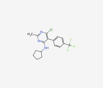 Cc1nc(Cl)c(-c2ccc(C(F)(F)F)cc2)c(NC2CCCC2)n1